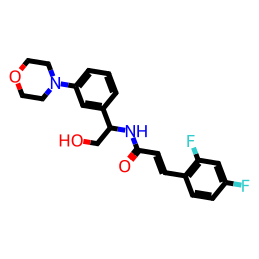 O=C(/C=C/c1ccc(F)cc1F)NC(CO)c1cccc(N2CCOCC2)c1